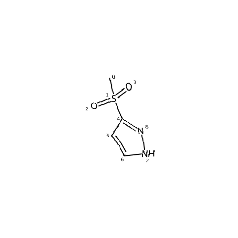 CS(=O)(=O)c1cc[nH]n1